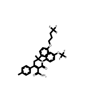 Cc1ccc(C2=C(C(N)=O)C(=O)N(c3ccc(OC(F)(F)F)cc3)C(C)(c3ccc(OCCCC(F)(F)F)cc3)C2)cc1